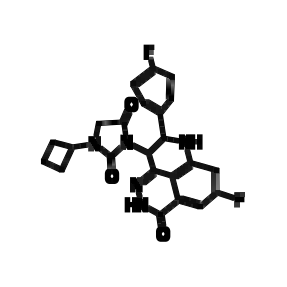 O=C1CN(C2CCC2)C(=O)N1C1c2n[nH]c(=O)c3cc(F)cc(c23)NC1c1ccc(F)cc1